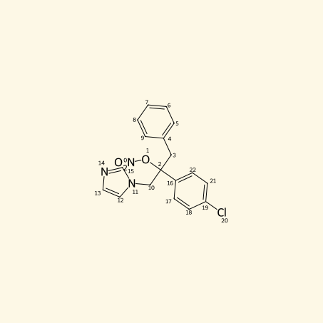 O=[N+]([O-])OC(Cc1ccccc1)(Cn1ccnc1)c1ccc(Cl)cc1